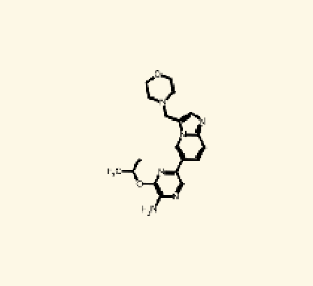 CC(Oc1nc(-c2ccc3ncc(CN4CCOCC4)n3c2)cnc1N)C(F)(F)F